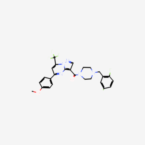 COc1ccc(-c2cc(C(F)(F)F)n3ncc(C(=O)N4CCN(Cc5cc(F)ccc5F)CC4)c3n2)cc1